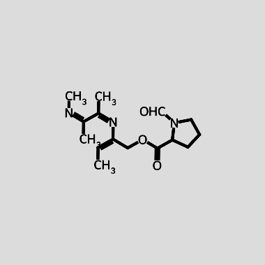 C/C=C(COC(=O)C1CCCN1C=O)/N=C(C)\C(C)=N/C